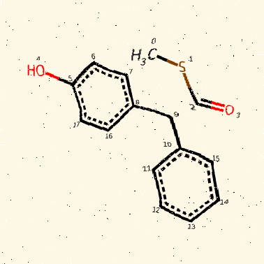 CSC=O.Oc1ccc(Cc2ccccc2)cc1